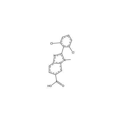 Cn1c(-c2c(Cl)cccc2Cl)nc2ccc(C(=O)O)cc21